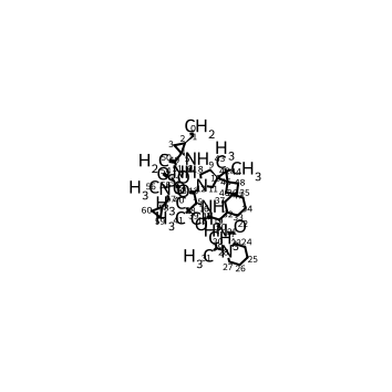 C=C[C@@H]1C[C@]1(NC(=O)[C@@H]1C[C@@]2(CN1C(=O)[C@@H](NC(=O)[C@@H](NC(=O)[C@@H]1CCCCN1C(C)C)C1CCCCC1)C(C)(C)C)C(C)(C)C21CCC1)C(=C)NS(=O)(=O)N(C)CC1CC1